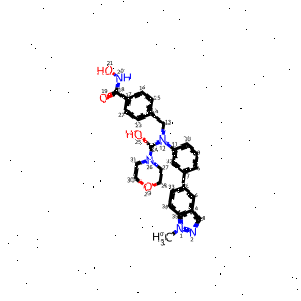 Cn1ncc2cc(-c3cccc(N(Cc4ccc(C(=O)NO)cc4)C(O)N4CCOCC4)c3)ccc21